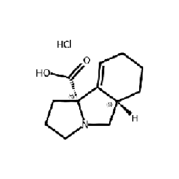 Cl.O=C(O)[C@@]12CCCN1C[C@H]1CCCC=C12